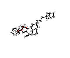 CC(C)(C)CS(=O)(=O)N1C2CC1CN(c1ccc(-c3cc(OCCN4CC5CCC(C4)O5)cn4ncc(C#N)c34)cn1)C2